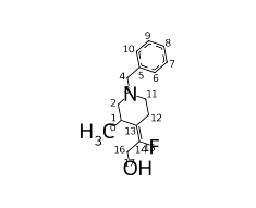 CC1CN(Cc2ccccc2)CC/C1=C(\F)CO